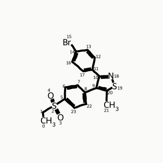 CCS(=O)(=O)c1ccc(-c2c(-c3ccc(Br)cc3)nsc2C)cc1